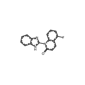 O=c1ccc2c(F)cccc2n1-c1nc2ccccc2[nH]1